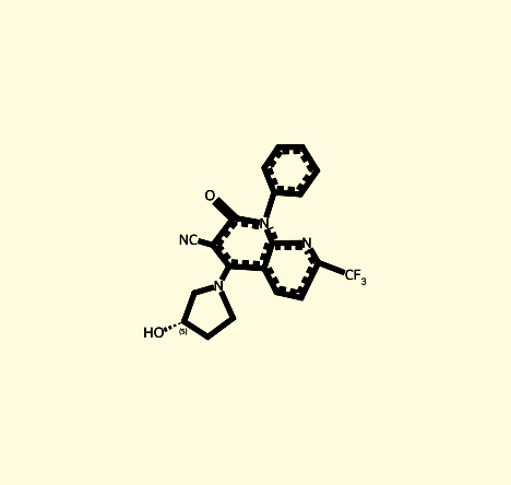 N#Cc1c(N2CC[C@H](O)C2)c2ccc(C(F)(F)F)nc2n(-c2ccccc2)c1=O